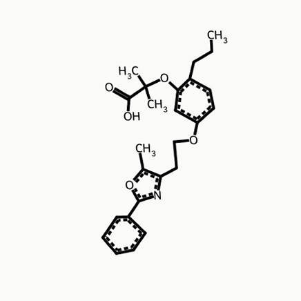 CCCc1ccc(OCCc2nc(-c3ccccc3)oc2C)cc1OC(C)(C)C(=O)O